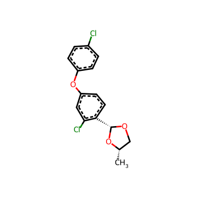 C[C@H]1CO[C@@H](c2ccc(Oc3ccc(Cl)cc3)cc2Cl)O1